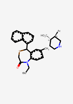 CC(=O)[C@H]1CNCC[C@@H]1C(=O)O.Cc1ccc2c(c1)C(c1cccc3ccccc13)SCC(=O)N2CC(C)(C)C